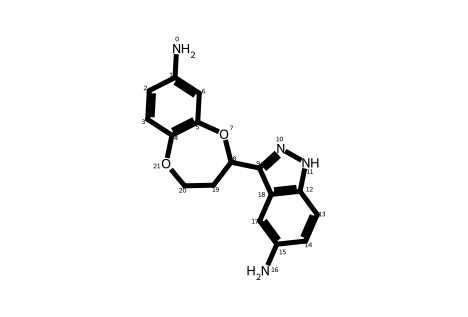 Nc1ccc2c(c1)OC(c1n[nH]c3ccc(N)cc13)CCO2